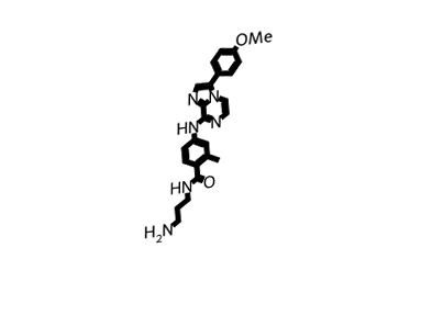 COc1ccc(-c2cnc3c(Nc4ccc(C(=O)NCCCN)c(C)c4)nccn23)cc1